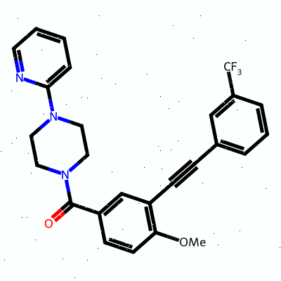 COc1ccc(C(=O)N2CCN(c3ccccn3)CC2)cc1C#Cc1cccc(C(F)(F)F)c1